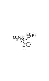 CCC(CC)CCCc1sc([N+](=O)[O-])nc1NC1CCCCC1